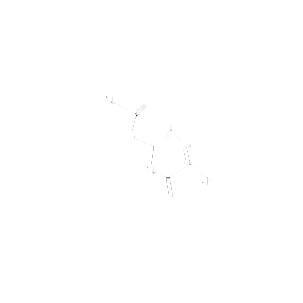 NC(=O)Oc1ccc(F)c(=S)[nH]1